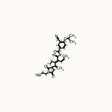 C=C1/C(=C(\C=C/C)c2noc(-c3ccc(OC(C)C)c(C#N)c3)n2)CC[C@@]12CC(=O)N(CCO)C2=O